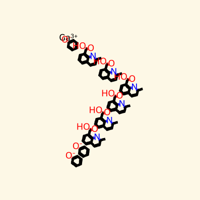 Cc1ccc2cccc(C(=O)O)c2n1.Cc1ccc2cccc(C(=O)O)c2n1.Cc1ccc2cccc(C(=O)O)c2n1.Cc1ccc2cccc(C(=O)O)c2n1.Cc1ccc2cccc(C(=O)O)c2n1.Cc1ccc2cccc(C(=O)O)c2n1.[Ga+3].[O-]c1ccccc1.[O-]c1ccccc1.[O-]c1ccccc1